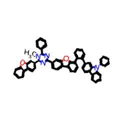 CN1C(c2ccccc2)=NC(c2ccc3c(c2)oc2c(-c4ccccc4-c4ccc5c6ccccc6n(-c6ccccc6)c5c4)cccc23)=NC1c1ccc2c(c1)oc1ccccc12